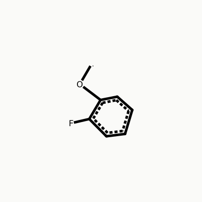 [CH2]Oc1ccccc1F